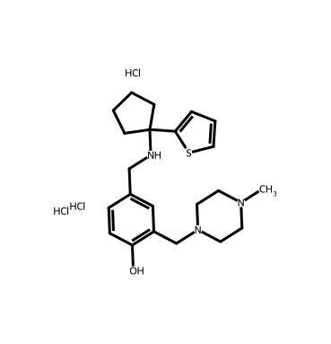 CN1CCN(Cc2cc(CNC3(c4cccs4)CCCC3)ccc2O)CC1.Cl.Cl.Cl